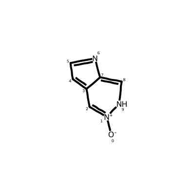 [O-][n+]1cc2ccnc-2c[nH]1